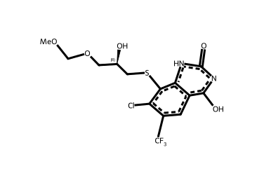 COCOC[C@@H](O)CSc1c(Cl)c(C(F)(F)F)cc2c(O)nc(=O)[nH]c12